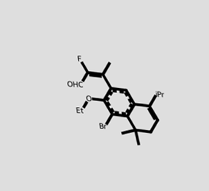 CCOc1c(/C(C)=C(/F)C=O)cc2c(c1Br)C(C)(C)CC=C2C(C)C